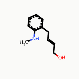 CNc1ccccc1C/C=C/CO